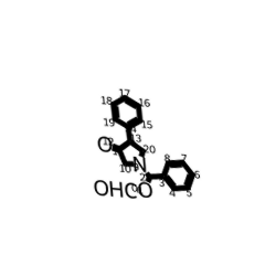 O=COC(c1ccccc1)N1CC(=O)C(c2ccccc2)C1